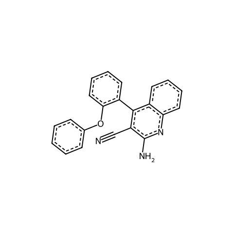 N#Cc1c(N)nc2ccccc2c1-c1ccccc1Oc1ccccc1